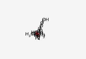 CO[C@@]12CC[C@@]3(C[C@@H]1[C@](C)(O)C(C)(C)C)[C@H]1Cc4ccc(OC(=O)OCCOCCOCCO)c5c4[C@@]3(CCN1CC1CC1)[C@H]2O5